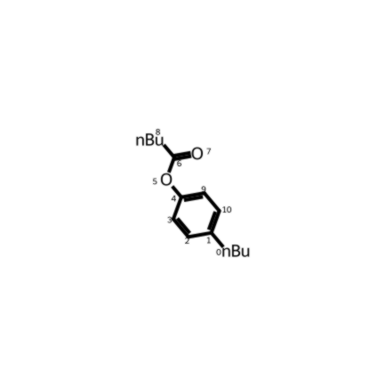 [CH2]CCCc1ccc(OC(=O)CCCC)cc1